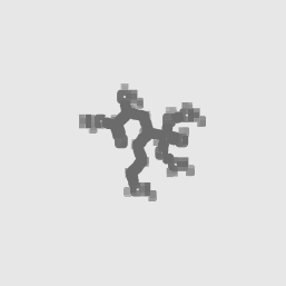 CCCCC(CC(C)C(C)=O)P(=O)(OC)OC